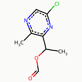 Cc1ncc(Cl)nc1C(C)OC=O